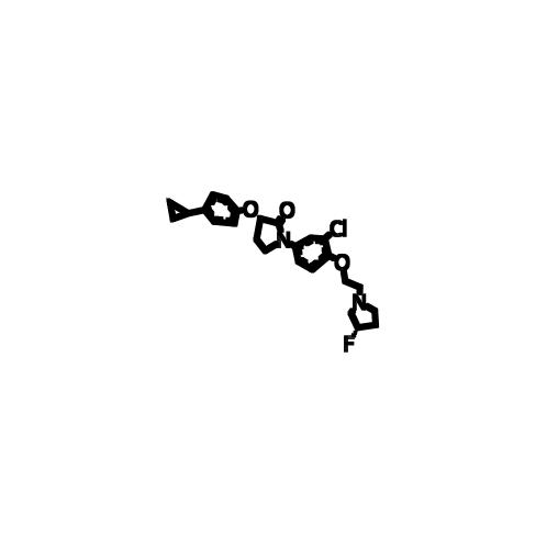 O=C1[C@@H](Oc2ccc(C3CC3)cc2)CCN1c1ccc(OCCN2CC[C@H](F)C2)c(Cl)c1